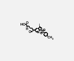 Cc1ccc(S(=O)(=O)n2cc(I)c3cc(N(C=O)CCCNC(=O)O)cnc32)cc1